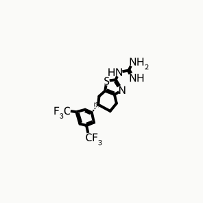 N=C(N)Nc1nc2c(s1)C[C@@H](c1cc(C(F)(F)F)cc(C(F)(F)F)c1)CC2